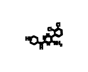 Nc1nc(NC2CCNCC2)nnc1-c1cccc(Cl)c1Cl